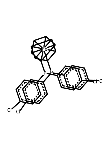 Clc1ccc(P(c2ccc(Cl)cc2)[C]23[CH]4[CH]5[CH]6[CH]2[Fe]56432789[CH]3[CH]2[CH]7[C]8(P(c2ccc(Cl)cc2)c2ccc(Cl)cc2)[CH]39)cc1